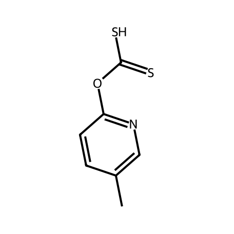 Cc1ccc(OC(=S)S)nc1